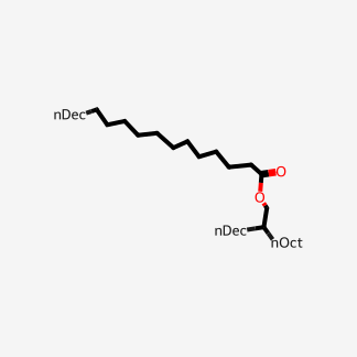 CCCCCCCCCCCCCCCCCCCCCC(=O)OCC(CCCCCCCC)CCCCCCCCCC